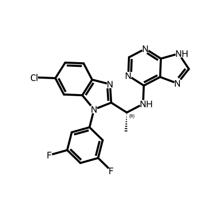 C[C@@H](Nc1ncnc2[nH]cnc12)c1nc2ccc(Cl)cc2n1-c1cc(F)cc(F)c1